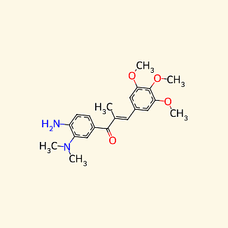 COc1cc(/C=C(\C)C(=O)c2ccc(N)c(N(C)C)c2)cc(OC)c1OC